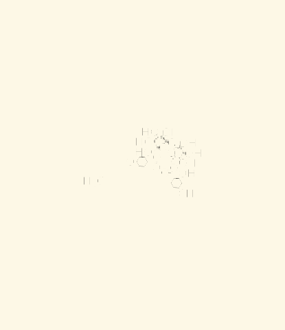 CCCCCCCOc1ccc(C(=O)OC[C@H]2O[C@H](O[C@H]3O[C@H](COC(=O)c4ccc(C)cc4O)[C@@H](O)[C@H](O)[C@H]3O)[C@H](O)[C@@H](O)[C@@H]2O)c(O)c1